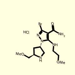 COCCNc1c(C(N)=O)c(Br)nn1[C@@H]1CN[C@@H](COC)C1.Cl